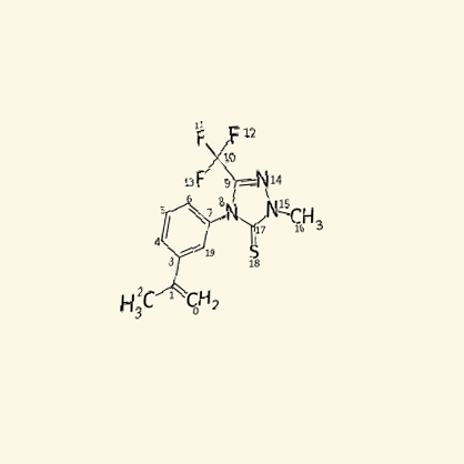 C=C(C)c1cccc(-n2c(C(F)(F)F)nn(C)c2=S)c1